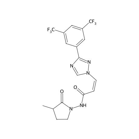 CC1CCN(NC(=O)/C=C\n2cnc(-c3cc(C(F)(F)F)cc(C(F)(F)F)c3)n2)C1=O